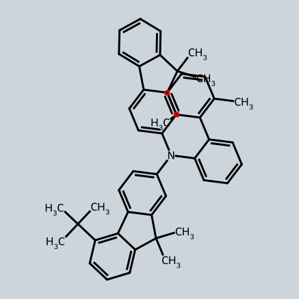 Cc1cccc(C)c1-c1ccccc1N(c1ccc2c(c1)C(C)(C)c1ccccc1-2)c1ccc2c(c1)C(C)(C)c1cccc(C(C)(C)C)c1-2